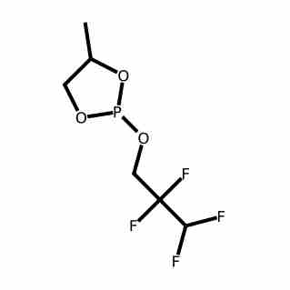 CC1COP(OCC(F)(F)C(F)F)O1